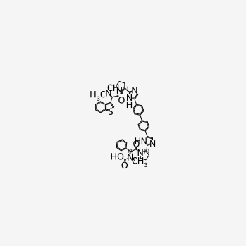 CN(C)C(C(=O)N1CCC[C@H]1c1ncc(-c2ccc(-c3ccc(-c4cnc([C@@H]5CCCN5C(=O)[C@@H](c5ccccc5)N(C)C(=O)O)[nH]4)cc3)cc2)[nH]1)c1csc2ccccc12